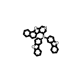 c1ccc2c(c1)ccc1c2oc2cncc(N(c3ccc4oc5ccccc5c4c3)c3ccc4oc5ccccc5c4c3)c21